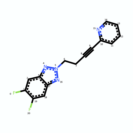 Fc1cc2nn(CCC#Cc3ccccn3)nc2cc1F